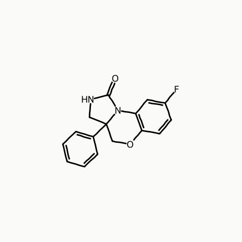 O=C1NCC2(c3ccccc3)COc3ccc(F)cc3N12